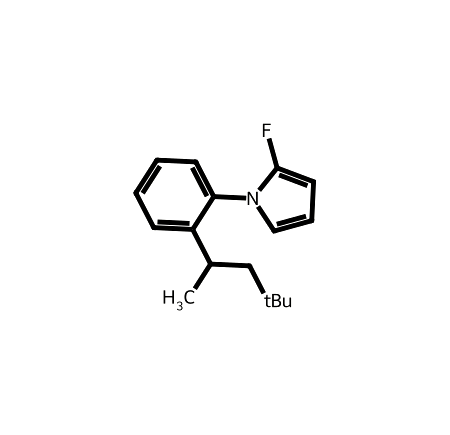 CC(CC(C)(C)C)c1ccccc1-n1cccc1F